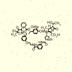 CCC(C)(C)C(=O)C(=O)N1CCCC[C@H]1C(=O)O[C@H](CCc1ccc(OC)c(OC)c1)c1cccc(OCCNC(=O)c2cccc(NC(=O)[C@@H]3C[C@H](SC4=C(C(=O)O)N5C(=O)[C@H](C(C)O)[C@H]5[C@H]4C)CN3)c2)c1